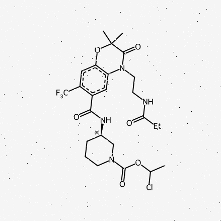 CCC(=O)NCCN1C(=O)C(C)(C)Oc2cc(C(F)(F)F)c(C(=O)N[C@@H]3CCCN(C(=O)OC(C)Cl)C3)cc21